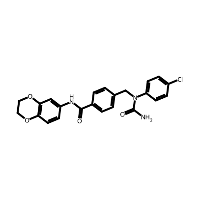 NC(=O)N(Cc1ccc(C(=O)Nc2ccc3c(c2)OCCO3)cc1)c1ccc(Cl)cc1